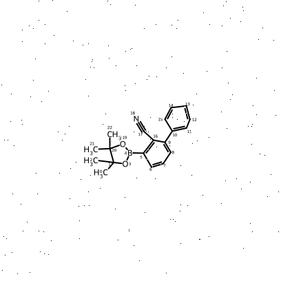 CC1(C)OB(c2cccc(-c3ccccc3)c2C#N)OC1(C)C